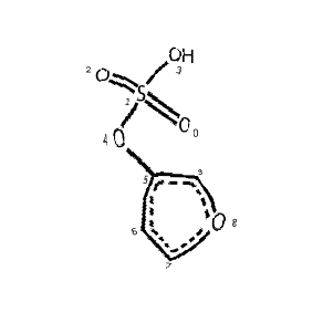 O=S(=O)(O)Oc1ccoc1